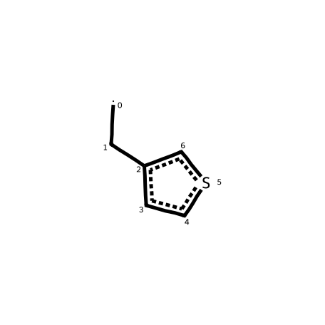 [CH2]Cc1ccsc1